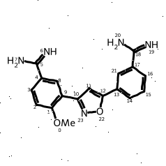 COc1ccc(C(=N)N)cc1-c1cc(-c2cccc(C(=N)N)c2)on1